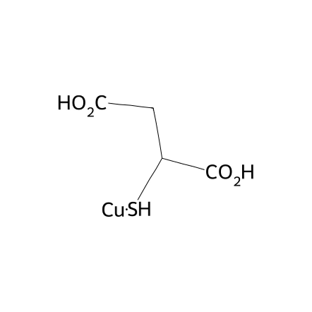 O=C(O)CC(S)C(=O)O.[Cu]